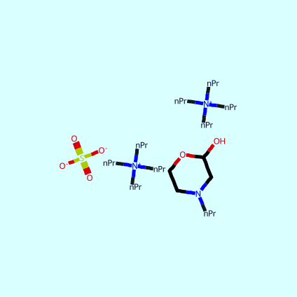 CCCN1CCOC(O)C1.CCC[N+](CCC)(CCC)CCC.CCC[N+](CCC)(CCC)CCC.O=S(=O)([O-])[O-]